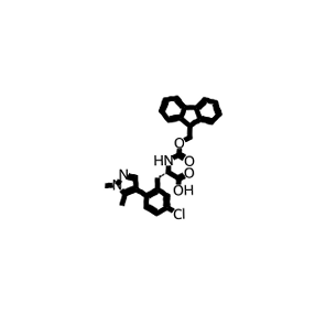 Cc1c(-c2ccc(Cl)cc2C[C@H](NC(=O)OCC2c3ccccc3-c3ccccc32)C(=O)O)cnn1C